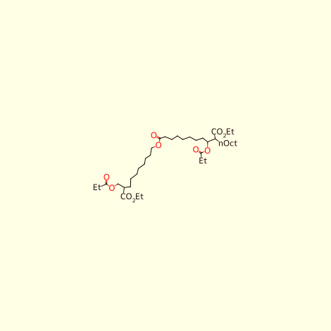 CCCCCCCCC(C(=O)OCC)C(CCCCCCCC(=O)OCCCCCCCCC(COC(=O)CC)C(=O)OCC)OC(=O)CC